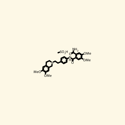 COc1cc2c(cc1OC)CN(CCc1ccc(NC(=O)c3cc(OC)c(OC)cc3C(N)=O)cc1)CC2.CS(=O)(=O)O